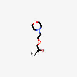 C=C(Br)COCCN1CCOCC1